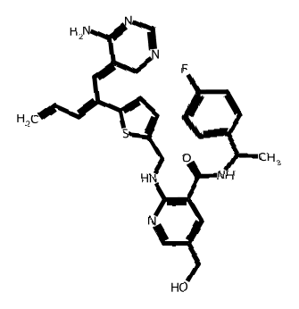 C=C/C=C(\C=C1/CN=CN=C1N)c1ccc(CNc2ncc(CO)cc2C(=O)NC(C)c2ccc(F)cc2)s1